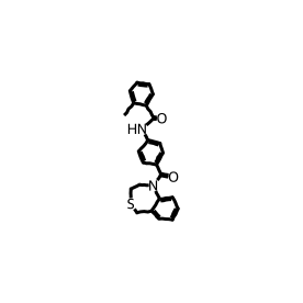 Cc1ccccc1C(=O)Nc1ccc(C(=O)N2CCSCc3ccccc32)cc1